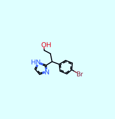 OCCC(c1ccc(Br)cc1)c1ncc[nH]1